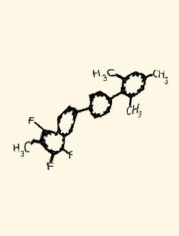 Cc1cc(C)c(-c2ccc(-c3ccc4c(F)c(C)c(F)c(F)c4c3)cc2)c(C)c1